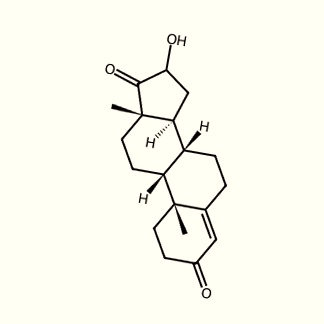 C[C@]12CCC(=O)C=C1CC[C@@H]1[C@H]2CC[C@]2(C)C(=O)C(O)C[C@@H]12